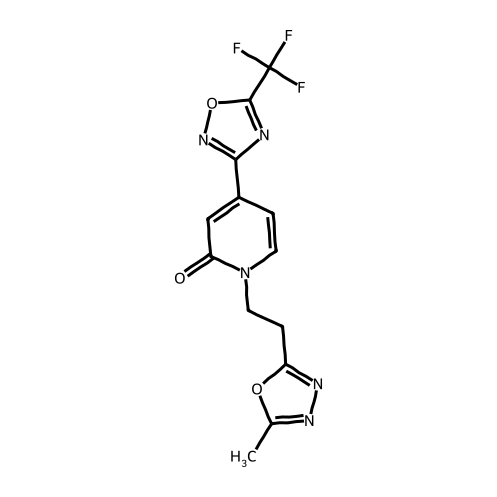 Cc1nnc(CCn2ccc(-c3noc(C(F)(F)F)n3)cc2=O)o1